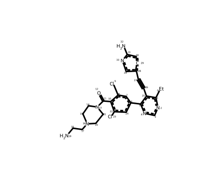 CCc1ncnc(-c2cc(Cl)c(C(=O)N3CCN(CCN)CC3)c(Cl)c2)c1C#Cc1ccc(N)nc1